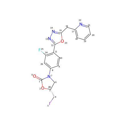 O=C1O[C@@H](CI)CN1c1ccc(-c2nnc(Cc3ccccn3)o2)c(F)c1